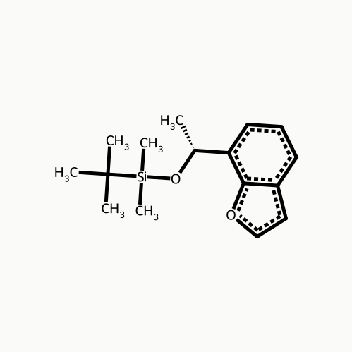 C[C@@H](O[Si](C)(C)C(C)(C)C)c1cccc2ccoc12